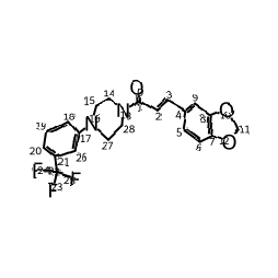 O=C(/C=C/c1ccc2c(c1)OCO2)N1CCN(c2cccc(C(F)(F)F)c2)CC1